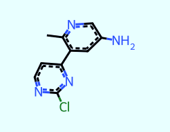 Cc1ncc(N)cc1-c1ccnc(Cl)n1